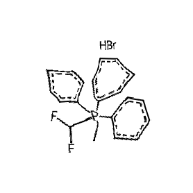 Br.CP(c1ccccc1)(c1ccccc1)(c1ccccc1)C(F)F